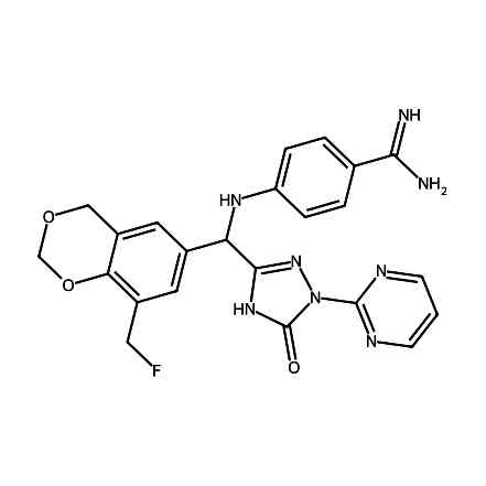 N=C(N)c1ccc(NC(c2cc(CF)c3c(c2)COCO3)c2nn(-c3ncccn3)c(=O)[nH]2)cc1